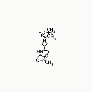 COC(=O)C(CO)NC(=O)C1CN(C(=O)OC(C)(C)C)C1